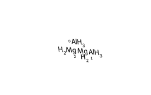 [AlH3].[AlH3].[MgH2].[MgH2]